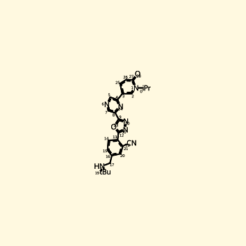 CC(C)n1cc(-c2cncc(-c3nnc(-c4ccc(CNC(C)(C)C)cc4C#N)o3)n2)ccc1=O